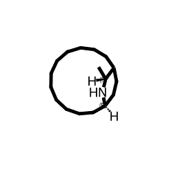 C[C@H]1N[C@@H]2CCCCCCCCCCCC1CC2